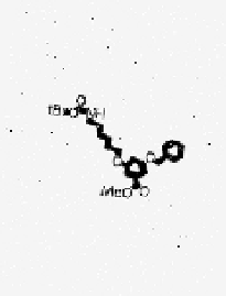 COC(=O)c1cc(OCCCCCCNC(=O)OC(C)(C)C)cc(OCc2ccccc2)c1